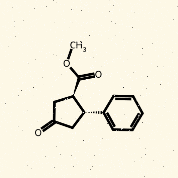 COC(=O)[C@@H]1CC(=O)C[C@H]1c1ccccc1